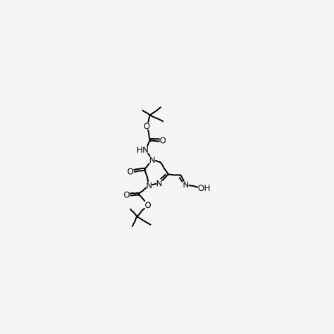 CC(C)(C)OC(=O)NN1CC(/C=N/O)=NN(C(=O)OC(C)(C)C)C1=O